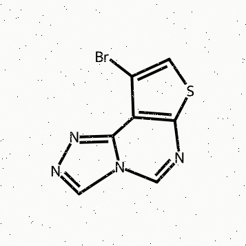 Brc1csc2ncn3cnnc3c12